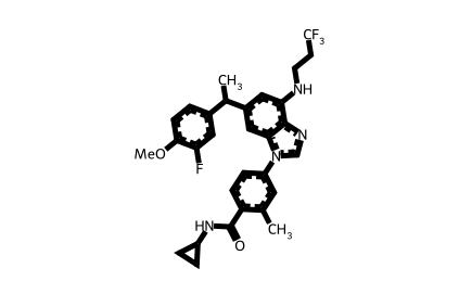 COc1ccc(C(C)c2cc(NCCC(F)(F)F)c3ncn(-c4ccc(C(=O)NC5CC5)c(C)c4)c3c2)cc1F